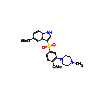 COc1ccc2[nH]cc(S(=O)(=O)c3ccc(OC)c(N4CCN(C)CC4)c3)c2c1